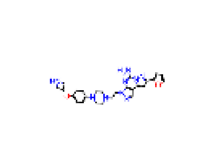 Nc1nc2c(cnn2CCN2CCN(c3ccc(OC4CNC4)cc3)CC2)c2cc(-c3ccco3)nn12